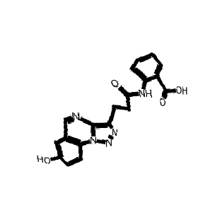 O=C(CCc1nnn2c1ncc1cc(O)ccc12)Nc1ccccc1C(=O)O